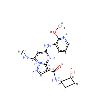 CNc1cc(Nc2cccnc2OC)nc2c(C(=O)N[C@H]3CCC3O)cnn12